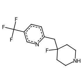 FC1(Cc2ccc(C(F)(F)F)cn2)CCNCC1